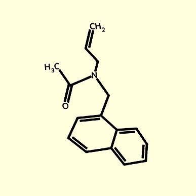 C=CCN(Cc1cccc2ccccc12)C(C)=O